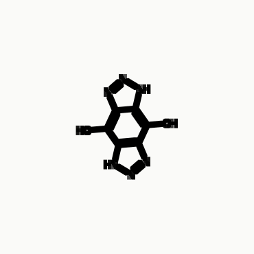 Oc1c2nn[nH]c2c(O)c2nn[nH]c12